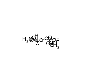 CNC(=O)c1c(-c2ccc(F)cc2)oc2ccc(-c3ccc(C(=O)NCC(=O)OC)cc3)cc12